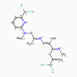 C=C(CC(=N\C)/C(=C/N=C(\C)CN(SC)c1cccc(C(F)F)n1)CCC)C(F)F